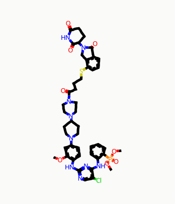 COc1cc(N2CCC(N3CCN(C(=O)CCCSc4cccc5c4CN(C4CCC(=O)NC4=O)C5=O)CC3)CC2)ccc1Nc1ncc(Cl)c(Nc2ccccc2P(=O)(OC)OC)n1